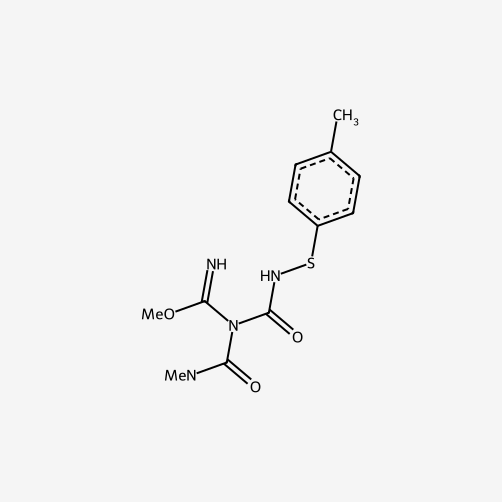 CNC(=O)N(C(=N)OC)C(=O)NSc1ccc(C)cc1